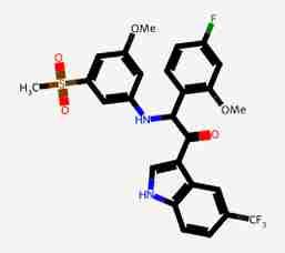 COc1cc(NC(C(=O)c2c[nH]c3ccc(C(F)(F)F)cc23)c2ccc(F)cc2OC)cc(S(C)(=O)=O)c1